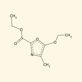 CCOC(=O)c1nc(C)c(OCC)o1